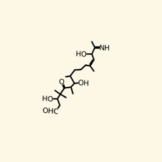 CC(=N)C(O)/C=C(/C)CCCC(C)C(O)C(C)C(=O)C(C)(C)C(O)CC=O